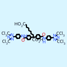 O=C(O)CCCCCCCC(C(=O)O)(c1ccc(C(=O)Nc2ccc(-c3nc(C(Cl)(Cl)Cl)nc(C(Cl)(Cl)Cl)n3)cc2)cc1)c1ccc(C(=O)Nc2ccc(-c3nc(C(Cl)(Cl)Cl)nc(C(Cl)(Cl)Cl)n3)cc2)cc1